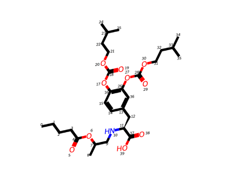 CCCCC(=O)OC(C)CN[C@@H](Cc1ccc(OC(=O)OCCC(C)C)c(OC(=O)OCCC(C)C)c1)C(=O)O